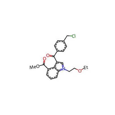 CCOCCn1cc(C(=O)c2ccc(CCl)cc2)c2c(C(=O)OC)cccc21